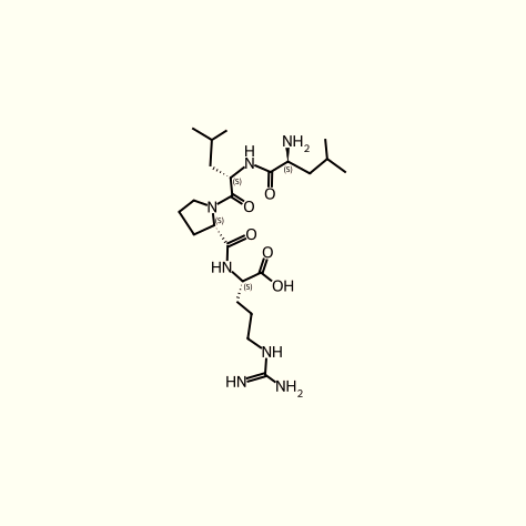 CC(C)C[C@H](NC(=O)[C@@H](N)CC(C)C)C(=O)N1CCC[C@H]1C(=O)N[C@@H](CCCNC(=N)N)C(=O)O